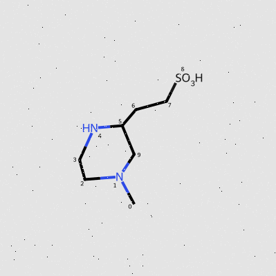 CN1CCNC(CCS(=O)(=O)O)C1